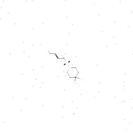 CC(C)CC=CCS(=O)(=O)N1CCC(N)(C(=O)O)CC1